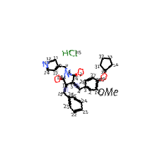 COc1cc(/C=C2\C(=O)N(Cc3ccncc3)C(=O)\C2=C\c2ccccc2)ccc1OC1CCCC1.Cl